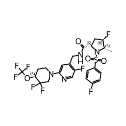 C[C@H]1[C@H](F)C[C@@H](C(=O)NCc2cc(N3CC[C@H](OC(F)(F)F)C(F)(F)C3)ncc2F)N1S(=O)(=O)c1ccc(F)cc1